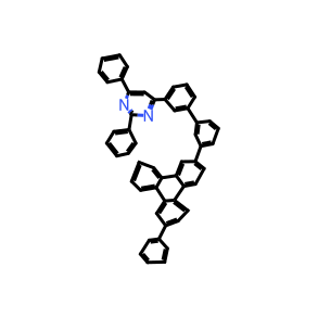 c1ccc(-c2ccc3c4ccc(-c5cccc(-c6cccc(-c7cc(-c8ccccc8)nc(-c8ccccc8)n7)c6)c5)cc4c4ccccc4c3c2)cc1